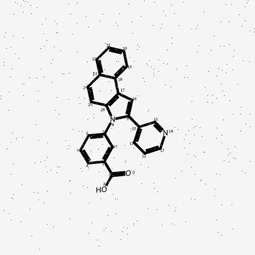 O=C(O)c1cccc(-n2c(-c3cccnc3)cc3c4ccccc4ccc32)c1